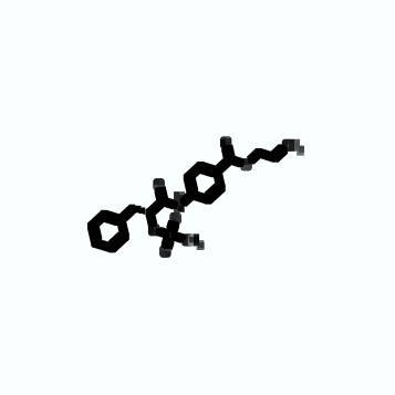 C=CCOC(=O)c1ccc(NC(=O)[C@@H](Cc2ccccc2)OS(C)(=O)=O)cc1